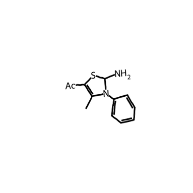 CC(=O)C1=C(C)N(c2ccccc2)C(N)S1